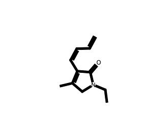 C=C/C=C\C1=C(C)CN(CC)C1=O